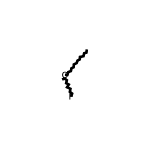 CCCCCCCCCCCCCCOC(C)CCCCCCCF